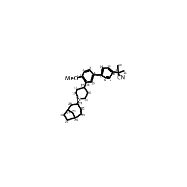 COc1ccc(-c2ccc(C(C)(C)C#N)cc2)cc1C1CCN(C2CCC3CCC(C3)C2)CC1